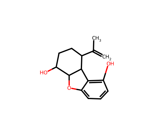 C=C(C)C1CCC(O)C2Oc3cccc(O)c3C12